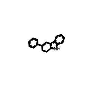 C1=C(c2ccccc2)CCc2[nH]c3ccccc3c21